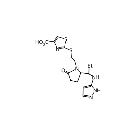 CCC(Nc1ccn[nH]1)[C@H]1CCC(=O)N1CCSc1nc(C(=O)O)cs1